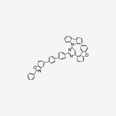 c1ccc(-c2nc3cc(-c4ccc(-c5ccc(-c6nc(-c7cccc8oc9ccccc9c78)cc(-n7c8ccccc8c8ccccc87)n6)cc5)cc4)ccc3o2)cc1